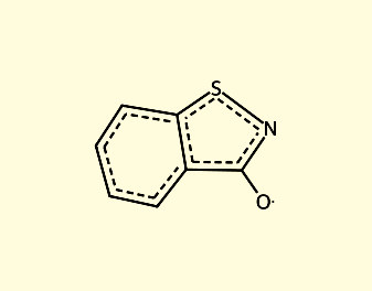 [O]c1nsc2ccccc12